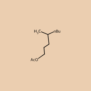 CCCCC(C)CCCOC(C)=O